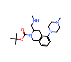 CNCC1Cc2c(cccc2N2CCN(C)CC2)CN1C(=O)OC(C)(C)C